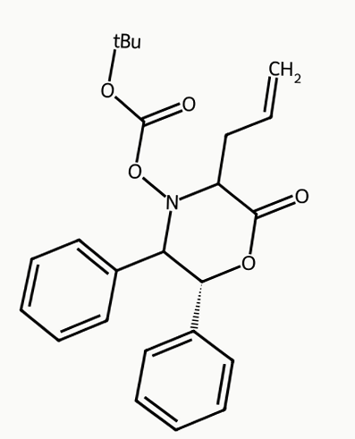 C=CCC1C(=O)O[C@H](c2ccccc2)C(c2ccccc2)N1OC(=O)OC(C)(C)C